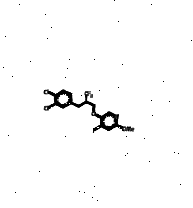 COc1cc(I)c(OC[C@@H](Cc2ccc(Cl)c(Cl)c2)C(F)(F)F)cn1